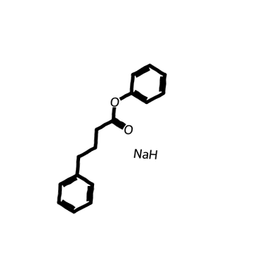 O=C(CCCc1ccccc1)Oc1ccccc1.[NaH]